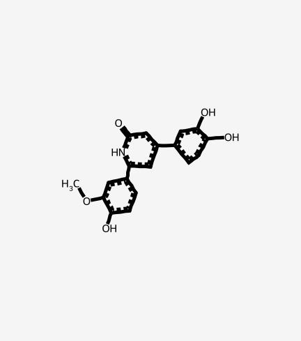 COc1cc(-c2cc(-c3ccc(O)c(O)c3)cc(=O)[nH]2)ccc1O